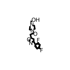 O=C(CC1CC(c2ccc(F)cc2F)=NO1)N1CCN(CO)CC1